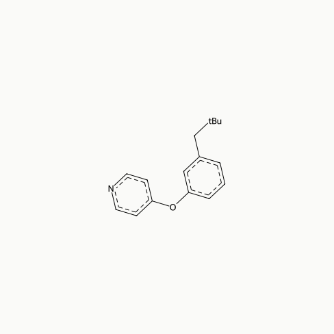 CC(C)(C)Cc1cccc(Oc2ccncc2)c1